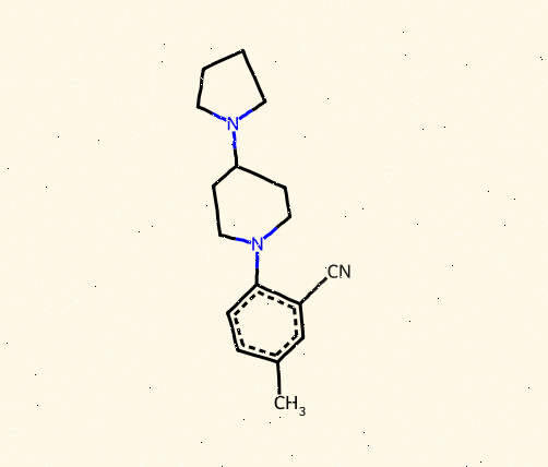 Cc1ccc(N2CCC(N3CCCC3)CC2)c(C#N)c1